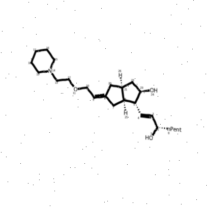 CCCCC[C@H](O)/C=C/[C@@H]1[C@H]2C/C(=C/COCCN3CCCCC3)C[C@H]2C[C@H]1O